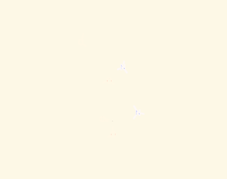 CCOC(=O)c1c(C)n(C)c2cc(CN3CCc4cc(OC)ccc4C3)c(OC)cc12